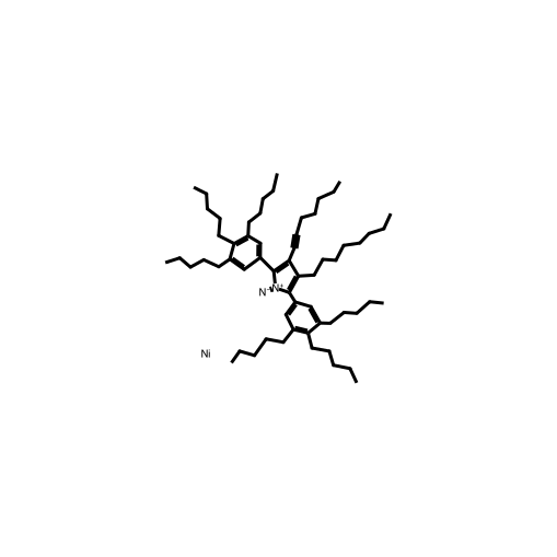 CCCCCC#CC1=C(c2cc(CCCCC)c(CCCCC)c(CCCCC)c2)[N+](=[N-])C(c2cc(CCCCC)c(CCCCC)c(CCCCC)c2)=C1CCCCCCCC.[Ni]